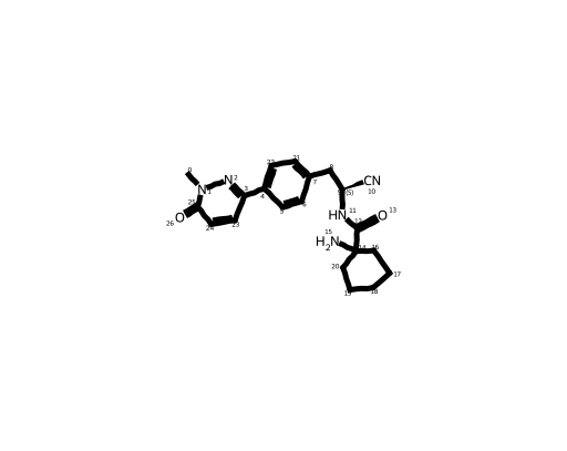 Cn1nc(-c2ccc(C[C@@H](C#N)NC(=O)C3(N)CCCCC3)cc2)ccc1=O